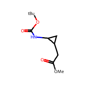 COC(=O)CC1CC1NC(=O)OC(C)(C)C